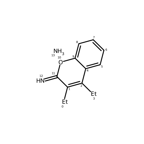 CCc1c(CC)c2ccccc2oc1=N.N